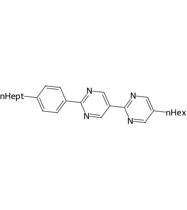 CCCCCCCc1ccc(-c2ncc(-c3ncc(CCCCCC)cn3)cn2)cc1